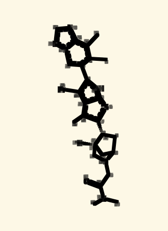 Cc1c(-c2[nH]c3sc([C@@H]4CC5C[C@H]4CN5CC(=O)N(C)C)c(C)c3c2C(C)C)cn2ncnc2c1C